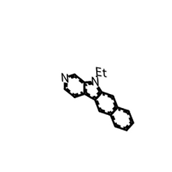 CCn1c2cnccc2c2cc3ccccc3cc21